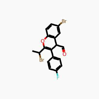 CC(Br)C1=C(c2ccc(F)cc2)C(C=O)c2cc(Br)ccc2O1